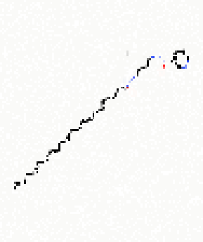 CCC=CCC=CCC=CCC=CCC=CCC=CCCC(=O)NCCC[C@H](NC(=O)c1cccnc1)C(=O)O